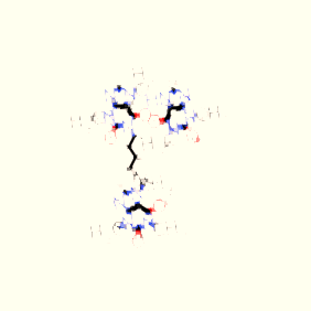 CC(=O)CCCCn1c(=O)c2c(ncn2C)n(C)c1=O.Cn1c(=O)c2[nH]cnc2n(C)c1=O.Cn1c(=O)c2c(ncn2C)n(C)c1=O